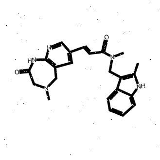 Cc1[nH]c2ccccc2c1CN(C)C(=O)C=Cc1cnc2c(c1)CN(C)CC(=O)N2